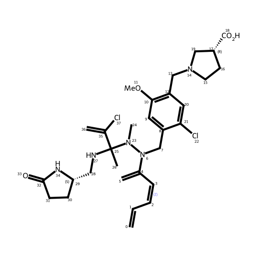 C=C/C=C\C(=C)N(Cc1cc(OC)c(CN2CC[C@@H](C(=O)O)C2)cc1Cl)N(C)C(C)(NC[C@@H]1CCC(=O)N1)C(=C)Cl